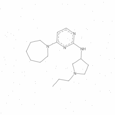 CCCN1CCC(Nc2nccc(N3CCCCCC3)n2)C1